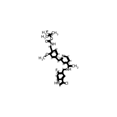 C=C(NCc1cc2c(Cl)c[nH]c2cc1F)c1ccnc(Cc2ccc(CNC(=O)OC(C)(C)C)c(OC)c2)c1